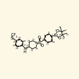 CC1(C)OB(c2ccc(S(=O)(=O)N3CCC(Nc4ccc(SC(F)(F)F)cc4)CC3)cc2)OC1(C)C